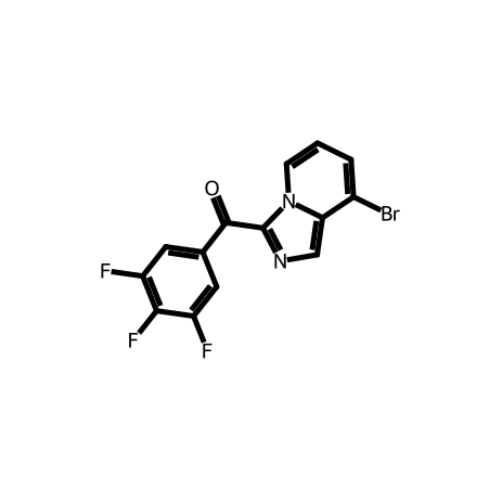 O=C(c1cc(F)c(F)c(F)c1)c1ncc2c(Br)cccn12